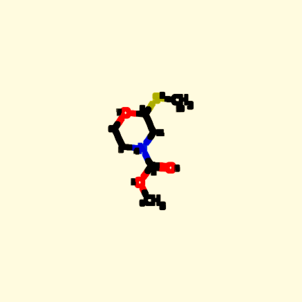 COC(=O)N1CCOC(SC)C1